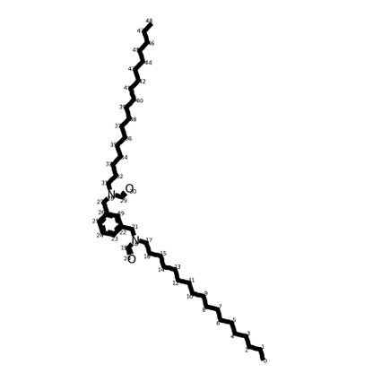 CCCCCCCCCCCCCCCCCCN(C=O)Cc1cccc(CN(C=O)CCCCCCCCCCCCCCCCCC)c1